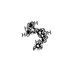 CC1(C)C(=O)c2c(O)c(=O)c(C(=O)NCc3ccc(F)cc3F)cn2CC1N(CCCP(C)(=O)O)CCCP(=O)(O)O